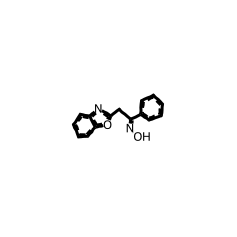 ON=C(Cc1nc2ccccc2o1)c1ccccc1